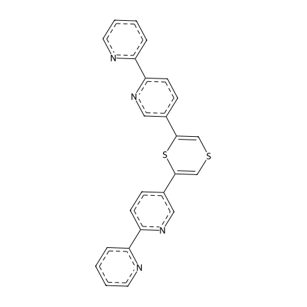 C1=C(c2ccc(-c3ccccn3)nc2)SC(c2ccc(-c3ccccn3)nc2)=CS1